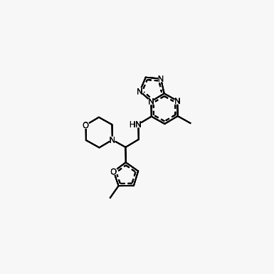 Cc1cc(NCC(c2ccc(C)o2)N2CCOCC2)n2ncnc2n1